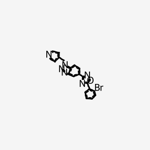 Brc1ccccc1-c1nc(-c2ccc3c(c2)nnn3Cc2ccncc2)no1